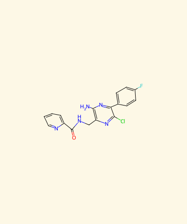 Nc1nc(-c2ccc(F)cc2)c(Cl)nc1CNC(=O)c1ccccn1